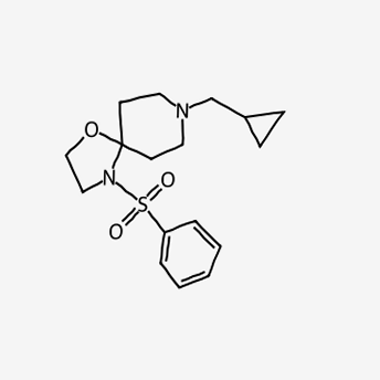 O=S(=O)(c1ccccc1)N1CCOC12CCN(CC1CC1)CC2